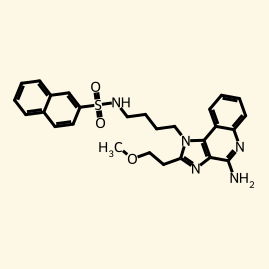 COCCc1nc2c(N)nc3ccccc3c2n1CCCCNS(=O)(=O)c1ccc2ccccc2c1